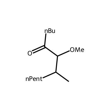 CCCCCC(C)C(OC)C(=O)CCCC